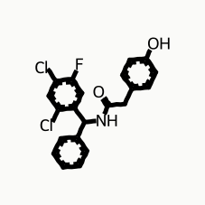 O=C(Cc1ccc(O)cc1)NC(c1ccccc1)c1cc(F)c(Cl)cc1Cl